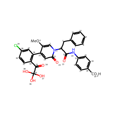 COc1cn(C(Cc2ccccc2)C(=O)Nc2ccc(C(=O)O)cc2)c(=O)cc1-c1cc(Cl)ccc1C(=O)C(O)(O)O